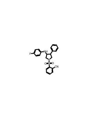 N#Cc1ccccc1S(=O)(=O)N1CC(Nc2ccc(F)cc2)C(c2ccccc2)C1